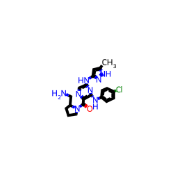 Cc1cc(Nc2cnc(C(=O)N3CCCC3CN)c(Nc3ccc(Cl)cc3)n2)n[nH]1